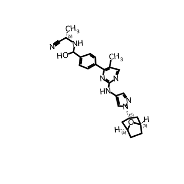 Cc1cnc(Nc2cnn([C@@H]3C[C@H]4CC[C@@H](C3)O4)c2)nc1-c1ccc(C(O)N[C@@H](C)C#N)cc1